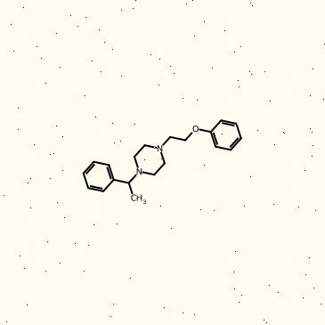 CC(c1ccccc1)N1CCN(CCOc2ccccc2)CC1